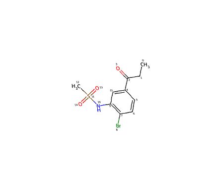 CCC(=O)c1ccc(Br)c(NS(C)(=O)=O)c1